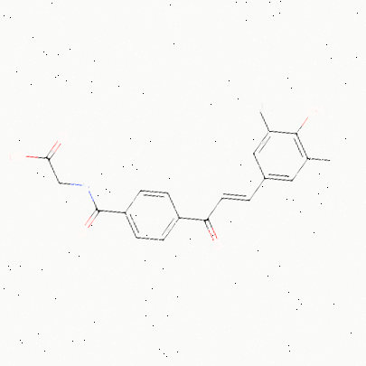 Cc1cc(C=CC(=O)c2ccc(C(=O)NCC(=O)O)cc2)cc(C)c1O